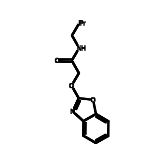 CC(C)CNC(=O)COc1nc2ccccc2o1